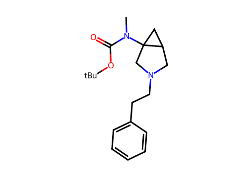 CN(C(=O)OC(C)(C)C)C12CC1CN(CCc1ccccc1)C2